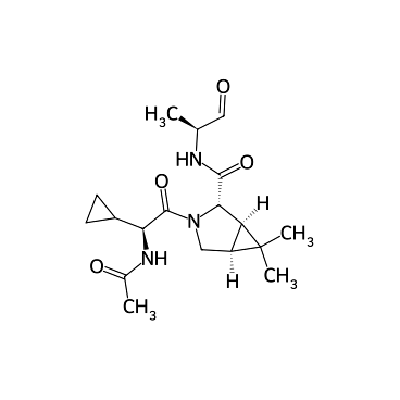 CC(=O)N[C@H](C(=O)N1C[C@H]2[C@@H]([C@H]1C(=O)N[C@@H](C)C=O)C2(C)C)C1CC1